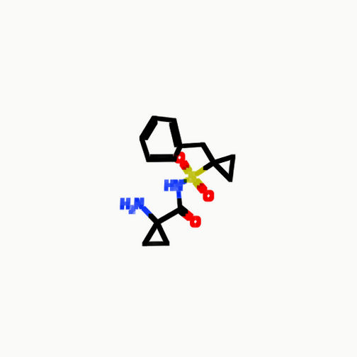 NC1(C(=O)NS(=O)(=O)C2(Cc3ccccc3)CC2)CC1